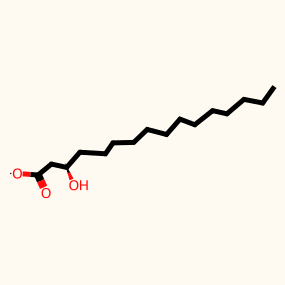 CCCCCCCCCCCCC[C@@H](O)CC([O])=O